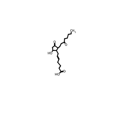 CCCCCC(=O)CCC1C(=O)CC(O)C1CC=CCCCC(=O)O